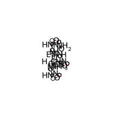 CCC(=O)N(c1cc(-c2c(Nc3ccccc3)c3c(n2CC(C)(C)C(=O)Nc2cc(-c4[nH]c5c(c4Nc4ccccc4)C(=O)CCC5)ccn2)CCCC3=O)ccn1)C(CCC(N)=O)c1cc(-c2[nH]c3c(c2Nc2ccccc2)C(=O)CCC3)ccn1